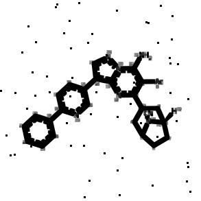 CC(=O)c1c(C2CC3CC[C@@H](C2)N3C#N)nc2c(-c3ccc(-c4ccccc4)nc3)cnn2c1N